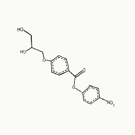 O=C(Oc1ccc([N+](=O)[O-])cc1)c1ccc(OCC(O)CO)cc1